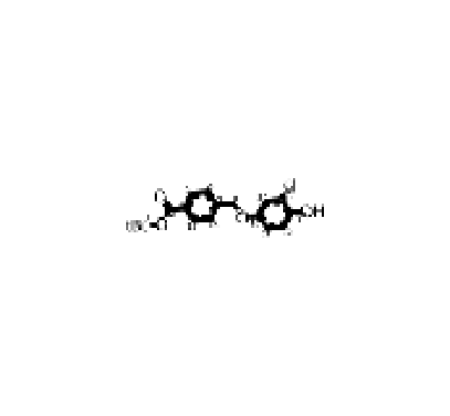 CC(C)(C)OC(=O)c1ccc(COc2ccc(O)c(Cl)c2)cc1